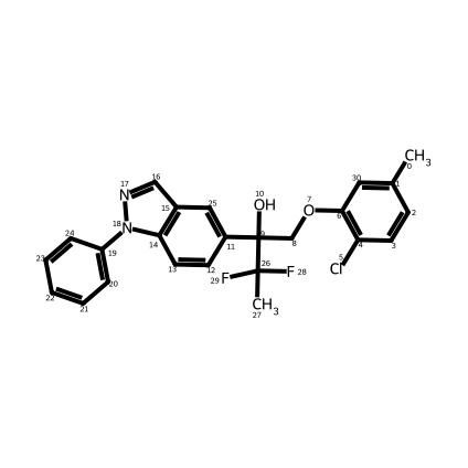 Cc1ccc(Cl)c(OCC(O)(c2ccc3c(cnn3-c3ccccc3)c2)C(C)(F)F)c1